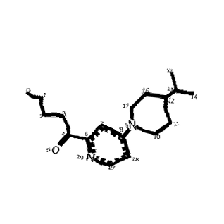 CCCCC(=O)c1cc(N2CCC(C(C)C)CC2)ccn1